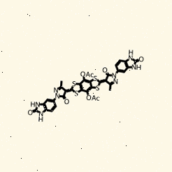 CC(=O)Oc1c2c(c(OC(C)=O)c3c1SC(=C1C(=O)N(c4ccc5[nH]c(=O)[nH]c5c4)N=C1C)S3)SC(=C1C(=O)N(c3ccc4[nH]c(=O)[nH]c4c3)N=C1C)S2